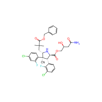 CC(C)(C[C@@H]1N[C@@H](C(=O)OC[C@@H](O)CC(N)=O)[C@H](c2cccc(Cl)c2F)[C@@]1(C#N)c1ccc(Cl)cc1F)C(=O)OCc1ccccc1